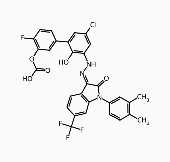 Cc1ccc(N2C(=O)C(=NNc3cc(Cl)cc(-c4ccc(F)c(OC(=O)O)c4)c3O)c3ccc(C(F)(F)F)cc32)cc1C